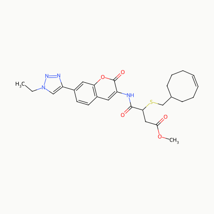 CCn1cc(-c2ccc3cc(NC(=O)C(CC(=O)OC)SCC4CC/C=C\CCC4)c(=O)oc3c2)nn1